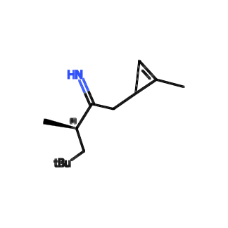 CC1=CC1CC(=N)[C@H](C)CC(C)(C)C